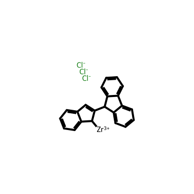 [Cl-].[Cl-].[Cl-].[Zr+3][CH]1C(C2c3ccccc3-c3ccccc32)=Cc2ccccc21